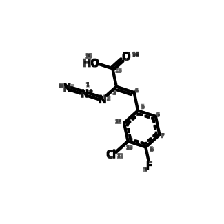 [N-]=[N+]=N/C(=C\c1ccc(F)c(Cl)c1)C(=O)O